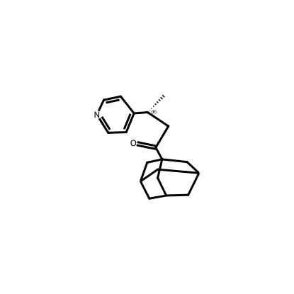 C[C@H](CC(=O)C12CC3CC(CC(C3)C1)C2)c1ccncc1